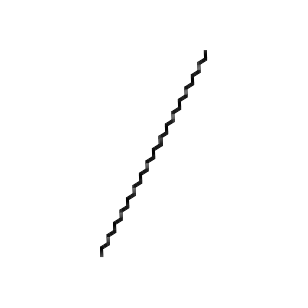 CCCCCCCCCCCCCCC=CCCCCCCCCCCCCCCCCCC